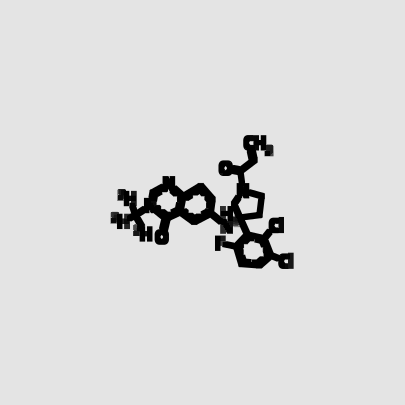 [2H]C([2H])([2H])n1cnc2ccc(N[C@@]3(c4c(F)ccc(Cl)c4Cl)CCN(C(=O)C=C)C3)cc2c1=O